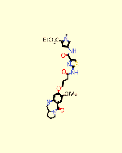 CCOC(=O)c1cc(NC(=O)c2csc(NC(=O)CCCOc3cc4c(cc3OC)C(=O)N3CCCC3C=N4)n2)cn1C